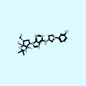 CC1(C)O[C@@H]2[C@@H](CF)C[C@@H](n3cnc4c(N[C@H]5CCN(c6cccc(Cl)c6)C5)ncnc43)[C@@H]2O1